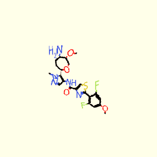 COc1cc(F)c(-c2nc(C(=O)Nc3cnn(C)c3[C@@H]3CC[C@@H](N)[C@@H](OC)CO3)cs2)c(F)c1